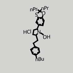 CCCCc1ccc(CCC2CCC(c3ccc4c(c3)SC(CCC)(CCC)O4)N2CO)cc1.Cl